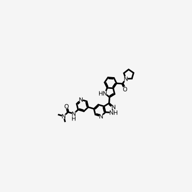 CN(C)C(=O)Nc1cncc(-c2cnc3[nH]nc(-c4cc5c(C(=O)N6CCCC6)cccc5[nH]4)c3c2)c1